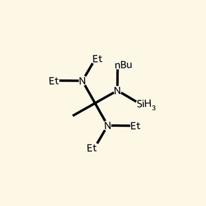 CCCCN([SiH3])C(C)(N(CC)CC)N(CC)CC